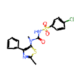 Cc1nc(-c2ccccc2)c(N(C)C(=O)NS(=O)(=O)c2ccc(Cl)cc2)s1